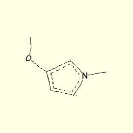 COc1c[c]n(C)c1